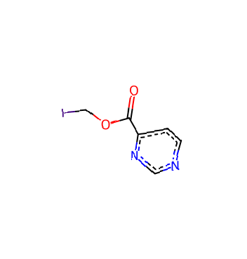 O=C(OCI)c1ccncn1